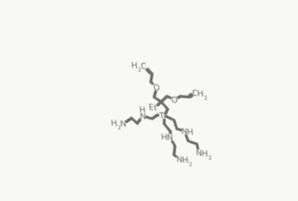 C=CCOCC(CC)(COCC=C)[CH2][Ti]([CH2]CNCCN)([CH2]CNCCN)[CH2]CNCCN